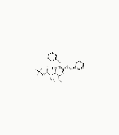 CCC(C)C(N[C@@H](Cc1ccccc1)C(=O)OCc1ccccc1)C(N)C(=O)OC(C)(C)C